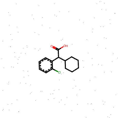 O=C(O)C(c1ccccc1Cl)C1CCCCC1